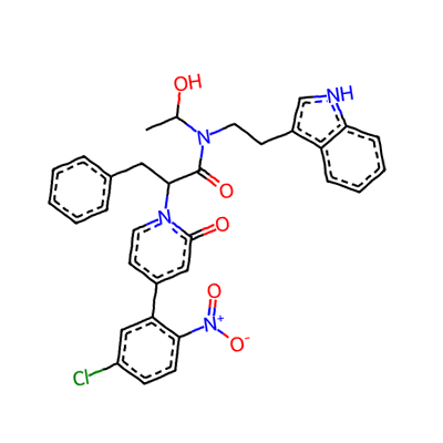 CC(O)N(CCc1c[nH]c2ccccc12)C(=O)C(Cc1ccccc1)n1ccc(-c2cc(Cl)ccc2[N+](=O)[O-])cc1=O